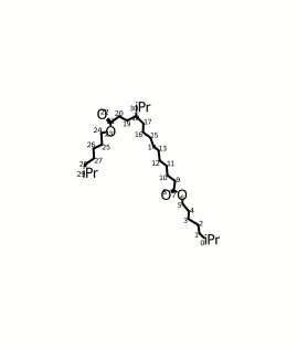 CC(C)CCCCCOC(=O)CCCCCCCCCC(CCC(=O)OCCCCCC(C)C)C(C)C